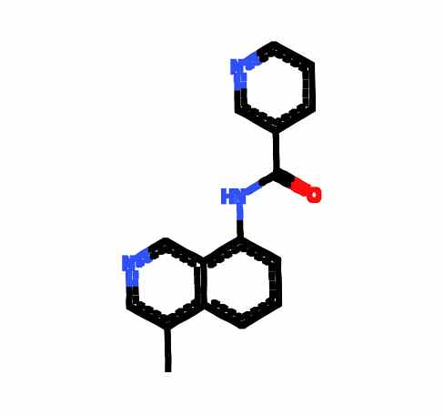 Cc1cncc2c(NC(=O)c3cccnc3)cccc12